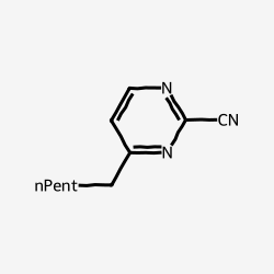 CCCCCCc1ccnc(C#N)n1